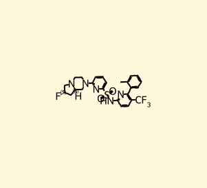 Cc1ccccc1-c1nc(NS(=O)(=O)c2cccc(N3CCN4C[C@@H](F)C[C@@H]4C3)n2)ccc1C(F)(F)F